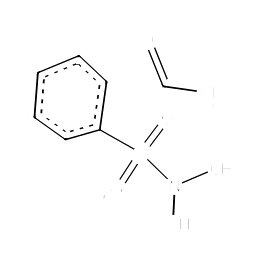 CN(C)S(=O)(=O)c1ccccc1.O=CO